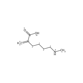 C=C(CCCCNC)C(=O)O